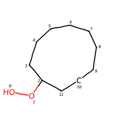 OOC1CCCCCCCCC1